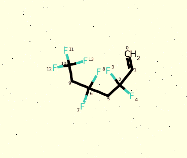 C=CC(F)(F)CC(F)(F)CC(F)(F)F